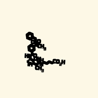 CC(C)C[C@H](NC(=O)c1cccc(N(C)S(=O)(=O)Cc2ccccc2)c1)C(O)CC(C)C(=O)NCCCCC(=O)O